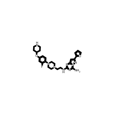 Nc1nc(NCCN2CCN(c3ccc(OC4CCNCC4)cc3F)CC2)nc2cc(-c3ccco3)nn12